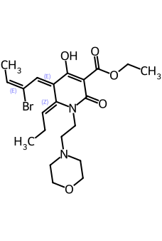 C\C=C(Br)/C=c1/c(O)c(C(=O)OCC)c(=O)n(CCN2CCOCC2)/c1=C\CC